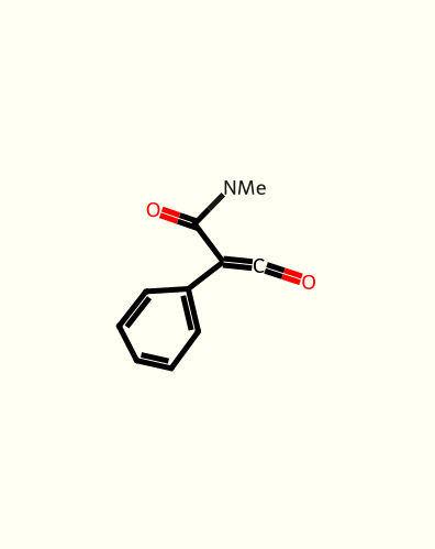 CNC(=O)C(=C=O)c1ccccc1